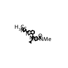 CNC(=O)N1CCn2c(C3CC3)nc(-c3cccc4cc(-c5cnc(C)s5)ncc34)c2C1